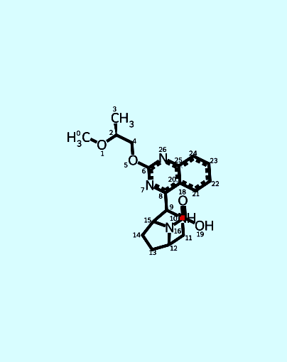 CO[C@@H](C)COc1nc(C2NCC3CCC2N3C(=O)O)c2ccccc2n1